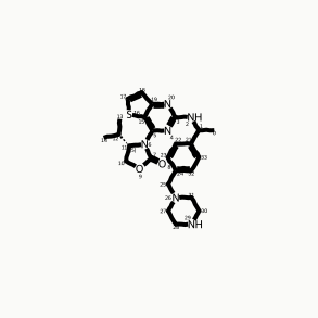 CC(Nc1nc(N2C(=O)OC[C@@H]2C(C)C)c2sccc2n1)c1ccc(CN2CCNCC2)cc1